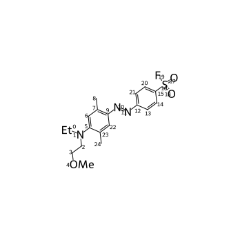 CCN(CCOC)c1cc(C)c(/N=N/c2ccc(S(=O)(=O)F)cc2)cc1C